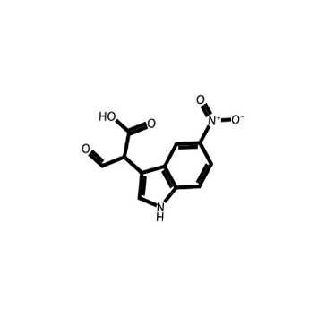 O=CC(C(=O)O)c1c[nH]c2ccc([N+](=O)[O-])cc12